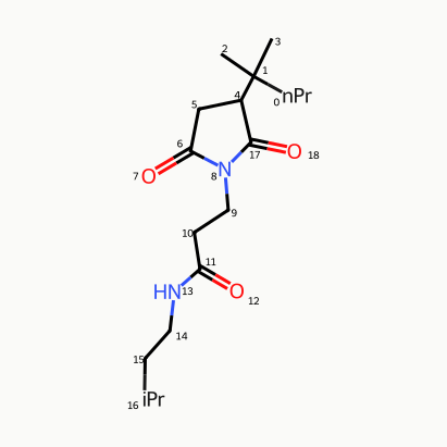 CCCC(C)(C)C1CC(=O)N(CCC(=O)NCCC(C)C)C1=O